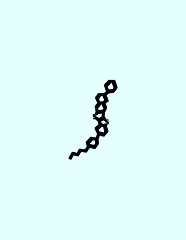 CCCCCc1ccc(-c2ccc3sc4c5cc6cc(-c7ccccc7)ccc6cc5sc4c3c2)cc1